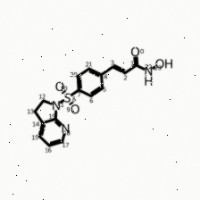 O=C(C=Cc1ccc(S(=O)(=O)N2CCc3cccnc32)cc1)NO